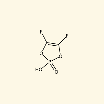 O=P1(O)OC(F)=C(F)O1